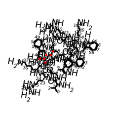 CC(C)[C@H](N)C(=O)N[C@@H](Cc1c[nH]c2ccccc12)C(=O)N[C@@H](CCCNC(=N)N)C(=O)N[C@@H](CCCCN)C(=O)N[C@@H](Cc1c[nH]c2ccccc12)C(=O)N[C@@H](CCCNC(=N)N)C(=O)N[C@@H](CCCNC(=N)N)C(=O)N[C@@H](Cc1ccccc1)C(=O)N[C@@H](Cc1c[nH]c2ccccc12)C(=O)N[C@@H](CCCCN)C(=O)N[C@@H](CCCNC(=N)N)C(N)=O